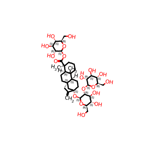 C=C1C[C@]23CC[C@@H]4[C@](C)(CCC[C@]4(C)C(=O)O[C@@H]4O[C@H](CO)[C@@H](O)[C@H](O)[C@H]4O)[C@H]2CC[C@]1(O[C@@H]1O[C@H](CO)[C@@H](O)[C@H](O)[C@H]1O[C@@H]1O[C@H](CO)[C@@H](O)[C@H](O)[C@H]1O)C3